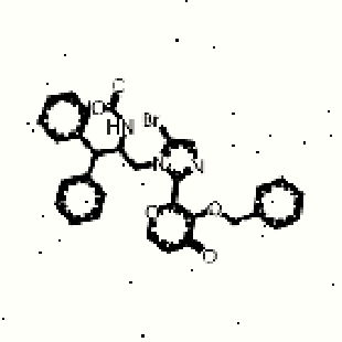 O=C(O)NC(Cn1c(Br)cnc1-c1occc(=O)c1OCc1ccccc1)C(c1ccccc1)c1ccccc1